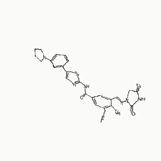 O=C1CN(N=Cc2cc(C(=O)Nc3ncc(-c4cccc(N5CCCC5)c4)s3)cc(F)c2O)C(=O)N1